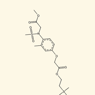 COC(=O)CN(c1ccc(OCC(=O)OCC[Si](C)(C)C)cc1C)S(C)(=O)=O